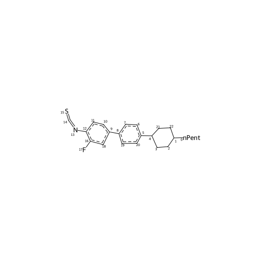 CCCCCC1CCC(c2ccc(-c3ccc(N=C=S)c(F)c3)cc2)CC1